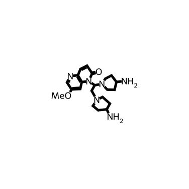 COc1cnc2ccc(=O)n(C(CN3CCC(N)CC3)N3CCC(N)CC3)c2c1